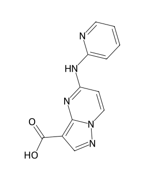 O=C(O)c1cnn2ccc(Nc3ccccn3)nc12